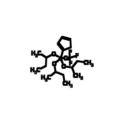 CCC(C)[O][Zr]([O]C(C)CC)([O]C(C)CC)([C]1=CC=CC1)[Ge]([F])([F])[F]